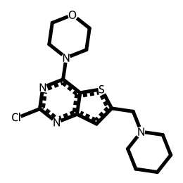 Clc1nc(N2CCOCC2)c2sc(CN3CCCCC3)cc2n1